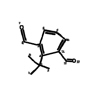 CC(C)(C)c1c([C]=O)cccc1[C]=O